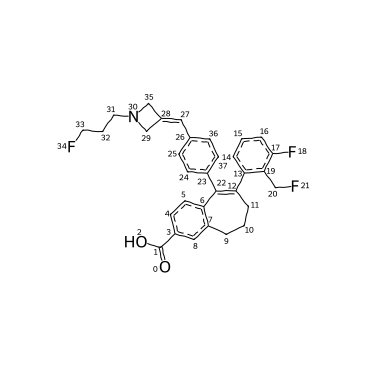 O=C(O)c1ccc2c(c1)CCCC(c1cccc(F)c1CF)=C2c1ccc(C=C2CN(CCCF)C2)cc1